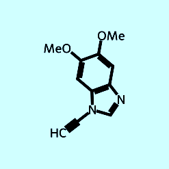 C#Cn1cnc2cc(OC)c(OC)cc21